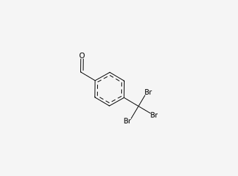 O=Cc1ccc(C(Br)(Br)Br)cc1